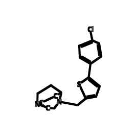 Clc1ccc(-c2ccc(CN3CCN4CCC3CC4)s2)cc1